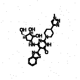 Cn1cc(C2CCN(c3nc(N[C@@H]4C[C@H](CO)[C@@H](O)[C@H]4O)c(-c4nc5ccccc5s4)c(=O)[nH]3)CC2)nn1